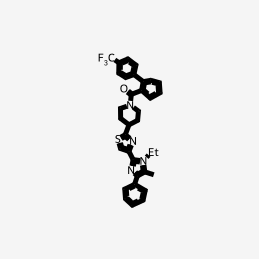 CCn1c(-c2csc(C3CCN(C(=O)c4ccccc4-c4ccc(C(F)(F)F)cc4)CC3)n2)nc(-c2ccccc2)c1C